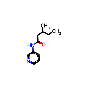 CCC(C)CC(=O)Nc1cccnc1